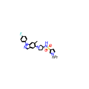 CCCn1ccc(S(=O)(=O)N[C@H]2CCN(c3cc4cnn(-c5ccc(F)cc5)c4cc3C)C2)c1